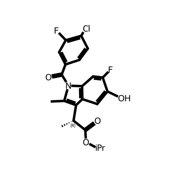 Cc1c([C@@H](C)C(=O)OC(C)C)c2cc(O)c(F)cc2n1C(=O)c1ccc(Cl)c(F)c1